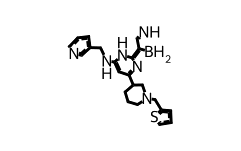 B/C(C=N)=C1\N=C(C2CCCN(Cc3cccs3)C2)C=C(NCc2cccnc2)N1